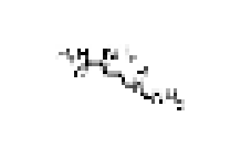 NCNCCC[C@H](N)C(N)=O